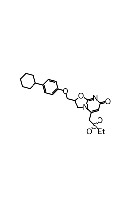 CCS(=O)(=O)Cc1cc(=O)nc2n1CC(COc1ccc(C3CCCCC3)cc1)O2